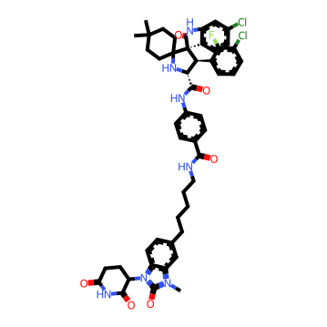 Cn1c(=O)n(C2CCC(=O)NC2=O)c2ccc(CCCCCNC(=O)c3ccc(NC(=O)[C@@H]4NC5(CCC(C)(C)CC5)[C@@]5(C(=O)Nc6cc(Cl)ccc65)[C@H]4c4cccc(Cl)c4F)cc3)cc21